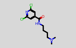 CN(C)CCCCNC(=O)c1cc(Cl)nc(Cl)c1